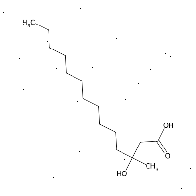 CCCCCCCCCCCC(C)(O)CC(=O)O